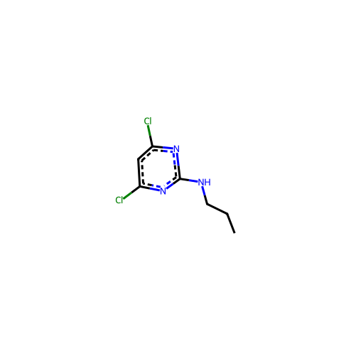 CCCNc1nc(Cl)cc(Cl)n1